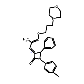 CC(/C=C1/C(=O)N(c2ccc(F)cc2)C1c1ccccc1)=NOCCCN1CCOCC1